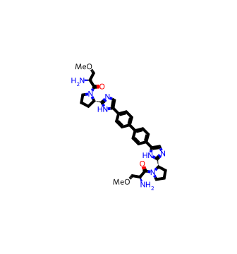 COC[C@H](N)C(=O)N1CCC[C@H]1c1ncc(-c2ccc(-c3ccc(-c4cnc([C@@H]5CCCN5C(=O)[C@@H](N)COC)[nH]4)cc3)cc2)[nH]1